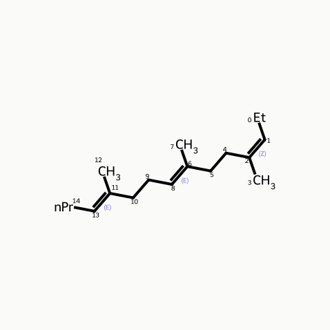 CC/C=C(/C)CC/C(C)=C/CC/C(C)=C/CCC